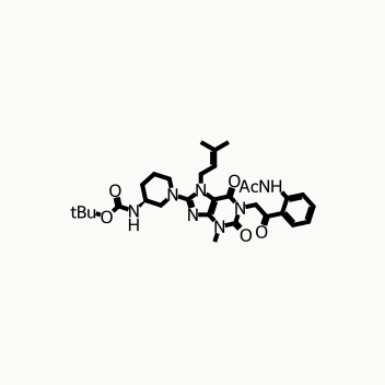 CC(=O)Nc1ccccc1C(=O)Cn1c(=O)c2c(nc(N3CCC[C@H](NC(=O)OC(C)(C)C)C3)n2CC=C(C)C)n(C)c1=O